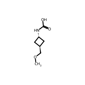 COC[C@H]1C[C@H](NC(=O)O)C1